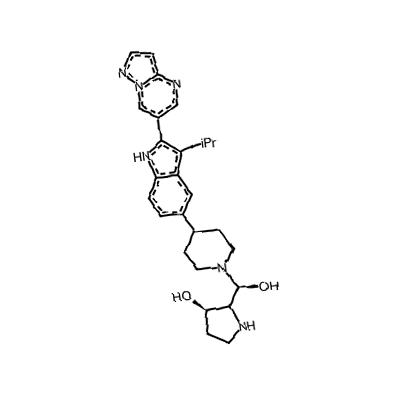 CC(C)c1c(-c2cnc3ccnn3c2)[nH]c2ccc(C3CCN([C@@H](O)C4NCC[C@H]4O)CC3)cc12